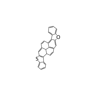 C1=Cc2c3c(cc4oc5ccccc5c24)C=CC2c4c(sc5ccccc45)C=C1C32